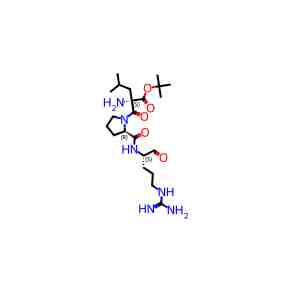 CC(C)C[C@@](N)(C(=O)OC(C)(C)C)C(=O)N1CCC[C@@H]1C(=O)N[C@H](C=O)CCCNC(=N)N